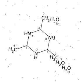 CC1NC(C)NC(C)N1.O.O.O